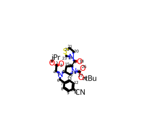 CC(C)OC(=O)CN(Cc1ccc(C#N)cc1)[C@H]1C[C@@H](C(=O)N2CCSC2)N(C(=O)OC(C)(C)C)C1